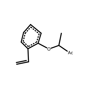 C=Cc1ccccc1OC(C)C(C)=O